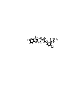 NC(=O)Nc1cc(Cl)ccc1OCC(=O)N1CCC(CF)(Cc2ccc(F)cc2)CC1